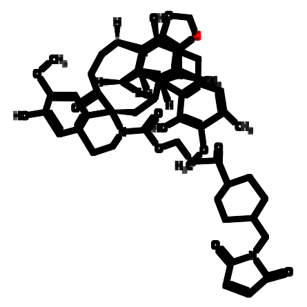 COc1cc2c(cc1O)CCN(C(=O)OCOC(=O)C1CCC(CN3C(=O)C=CC3=O)CC1)[C@]21CC2S[C@@H]3c4c2c(C)c2c(c4[C@H](CCC1=O)N1[C@@H]3[C@H]3c4c(cc(C)c(OC)c4O)C[C@@H]([C@@H]1O)N3C)OCO2